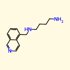 NCCCCNCc1cccc2cnccc12